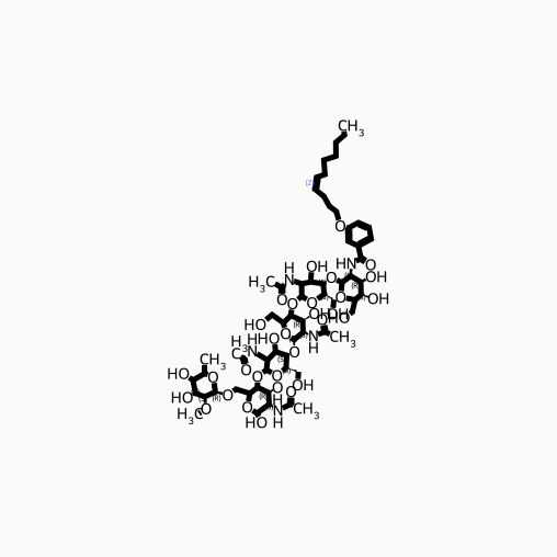 CCCCCC/C=C\CCCOc1cccc(C(=O)N[C@@H]2C(O[C@H]3C(O)C(NC(C)=O)C(OC4C(CO)O[C@@H](O[C@H]5C(O)C(NC(C)=O)C(OC6C(CO[C@@H]7OC(C)C(O)[C@H](O)[C@@H]7OC)OC(O)[C@@H](NC(C)=O)[C@H]6O)O[C@H]5CO)[C@@H](NC(C)=O)[C@H]4O)O[C@H]3CO)OC(CO)[C@@H](O)[C@@H]2O)c1